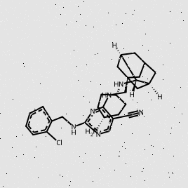 N#Cc1cnc(NCc2ccccc2Cl)nc1NC[C@]12CC3C[C@H](C1)[C@@H](N[C@H]1CC[C@@H](N)CC1)[C@@H](C3)C2